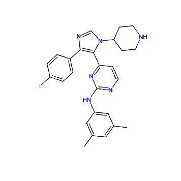 Cc1cc(C)cc(Nc2nccc(-c3c(-c4ccc(I)cc4)ncn3C3CCNCC3)n2)c1